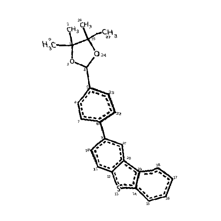 CC1(C)OC(c2ccc(-c3ccc4sc5ccccc5c4c3)cc2)OC1(C)C